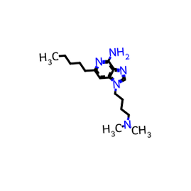 CCCCCc1cc2c(ncn2CCCCN(C)C)c(N)n1